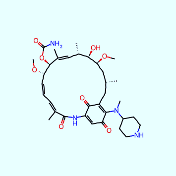 CO[C@H]1/C=C\C=C(/C)C(=O)NC2=CC(=O)C(N(C)C3CCNCC3)=C(C[C@@H](C)C[C@H](OC)[C@H](O)[C@@H](C)/C=C(\C)[C@@H]1OC(N)=O)C2=O